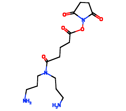 NCCCN(CCCN)C(=O)CCCC(=O)ON1C(=O)CCC1=O